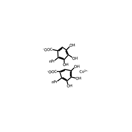 CCCc1c(C(=O)[O-])cc(O)c(O)c1O.CCCc1c(C(=O)[O-])cc(O)c(O)c1O.[Co+2]